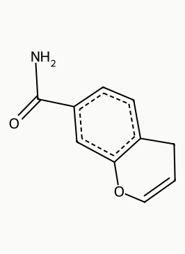 NC(=O)c1ccc2c(c1)OC=CC2